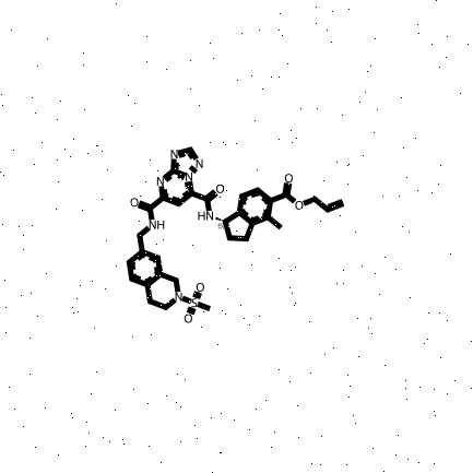 C=CCOC(=O)c1ccc2c(c1C)CC[C@@H]2NC(=O)c1cc(C(=O)NCc2ccc3c(c2)CN(S(C)(=O)=O)CC3)nc2ncnn12